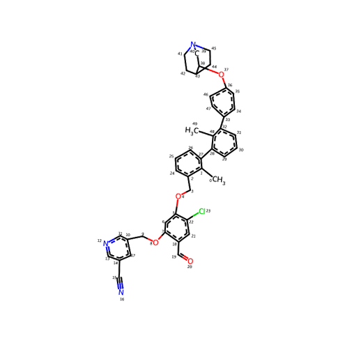 Cc1c(COc2cc(OCc3cncc(C#N)c3)c(C=O)cc2Cl)cccc1-c1cccc(-c2ccc(OC3CN4CCC3CC4)cc2)c1C